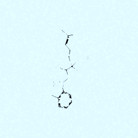 CC(C)=CCCC(C)(O)C(O)CNc1ccccc1C